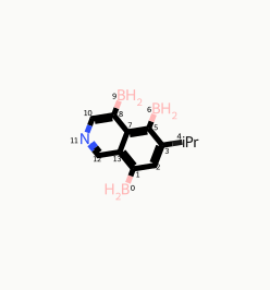 Bc1cc(C(C)C)c(B)c2c(B)cncc12